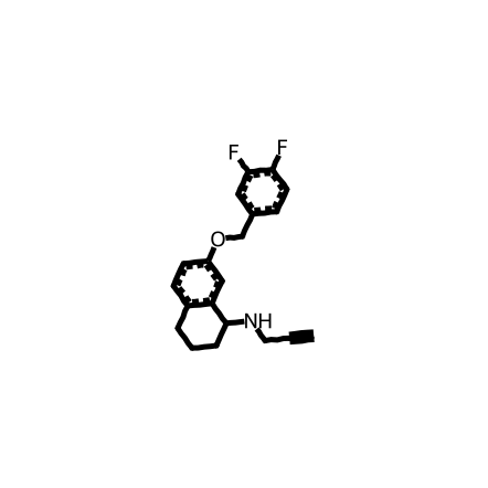 C#CCNC1CCCc2ccc(OCc3ccc(F)c(F)c3)cc21